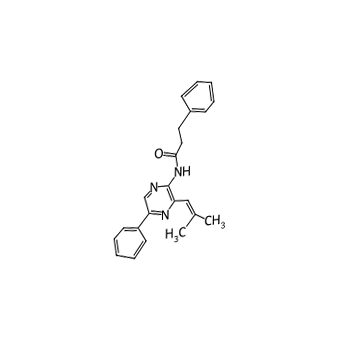 CC(C)=Cc1nc(-c2ccccc2)cnc1NC(=O)CCc1ccccc1